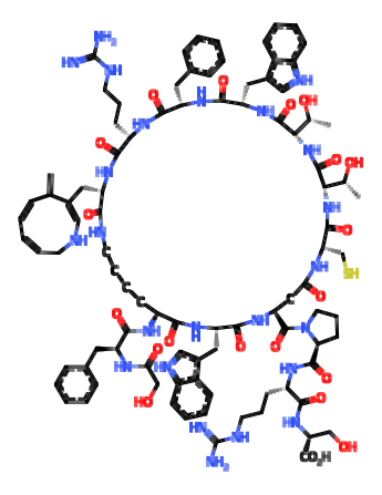 C=C1/C=C\C=C/CN/C=C\1C[C@@H]1NC(=O)[C@H](CCCNC(=N)N)NC(=O)[C@H](Cc2ccccc2)NC(=O)[C@H](Cc2c[nH]c3ccccc23)NC(=O)[C@H]([C@@H](C)O)NC(=O)[C@H]([C@@H](C)O)NC(=O)[C@H](CS)NC(=O)C[C@@H](C(=O)N2CCC[C@H]2C(=O)N[C@@H](CCCNC(=N)N)C(=O)N[C@@H](CO)C(=O)O)NC(=O)[C@H](Cc2c[nH]c3ccccc23)NC(=O)[C@@H](NC(=O)[C@H](Cc2ccccc2)NC(=O)CO)CCCCNC1=O